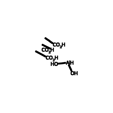 CC(=O)O.CC(=O)O.CC(=O)O.[OH][AlH][OH]